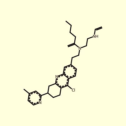 C=CNCCN(CCc1ccc2c(Cl)c3c(nc2c1)CC(c1cc(C)ccn1)CC3)C(=C)CCCC